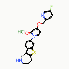 Cl.O=c1cc(OCc2ccc(F)cn2)ccn1-c1ccc2c3c(sc2c1)CCCNC3